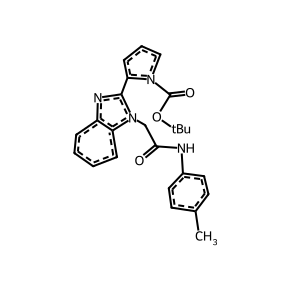 Cc1ccc(NC(=O)Cn2c(-c3cccn3C(=O)OC(C)(C)C)nc3ccccc32)cc1